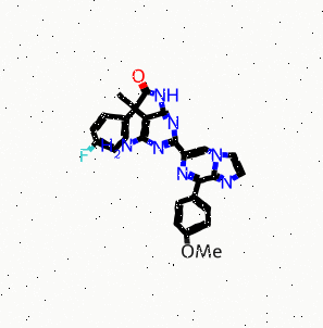 COc1ccc(-c2nc(-c3nc(N)c4c(n3)NC(=O)C4(C)c3ccc(F)cc3)cn3ccnc23)cc1